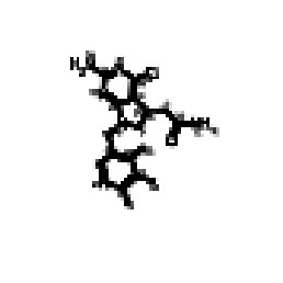 Cc1ncc(CN2C[C@H](CC(N)=O)c3c(Cl)nc(N)nc32)c(C)c1C